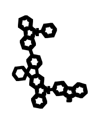 c1ccc(-n2c3ccccc3c3ccc(-c4ccc5c(c4)C4(CCCCC4)c4cc6c7ccccc7n(-c7ccc8c(c7)sc7ccccc78)c6cc4-5)cc32)cc1